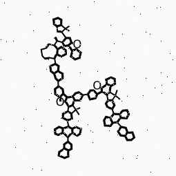 C=C(C1=c2\cccc\c2=C(c2ccc3cc(-c4ccc5oc6c7c(c8cc(-c9ccc%10c(c9)oc9c%11ccccc%11c%11c(c%109)-c9ccc(-c%10c%12ccccc%12c(-c%12ccc%13ccccc%13c%12)c%12ccccc%10%12)cc9C%11(C)C)ccc8c6c5c4)C(C)(C)c4cc(-c5c6ccccc6c(-c6ccc8ccccc8c6)c6ccccc56)ccc4-7)ccc3c2)\C=C\CC\C=C\1)c1cc2c(cc1C1=Cc3ccccc3C1(C)C)oc1ccccc12